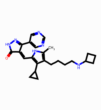 Cc1[nH]c(/C=C2/C(=O)NN=C2c2cncnc2)c(C2CC2)c1CCCCNC1CCC1